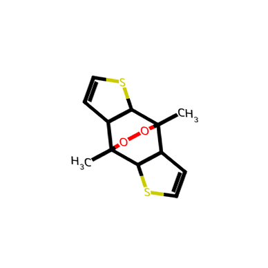 CC12OOC(C)(C3C=CSC31)C1SC=CC12